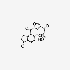 C[C@@]12c3ccc4c(c3C(=O)c3occ(c31)C(=O)C[C@H]2O)CCC4=O